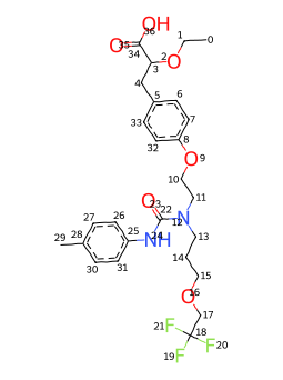 CCOC(Cc1ccc(OCCN(CCCOCC(F)(F)F)C(=O)Nc2ccc(C)cc2)cc1)C(=O)O